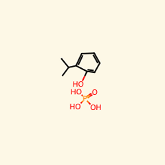 CC(C)c1ccccc1O.O=P(O)(O)O